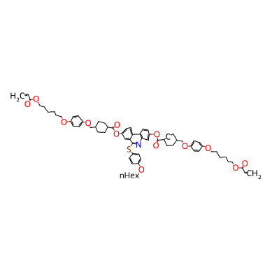 C=CC(=O)OCCCCCCOc1ccc(OCC2CCC(C(=O)Oc3ccc4c(c3)nc(Sc3ccc(OCCCCCC)cc3)c3cc(OC(=O)C5CCC(COc6ccc(OCCCCCCOC(=O)C=C)cc6)CC5)ccc34)CC2)cc1